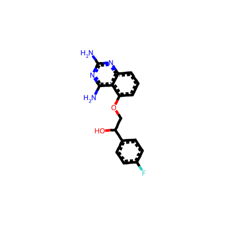 Nc1nc(N)c2c(OCC(O)c3ccc(F)cc3)cccc2n1